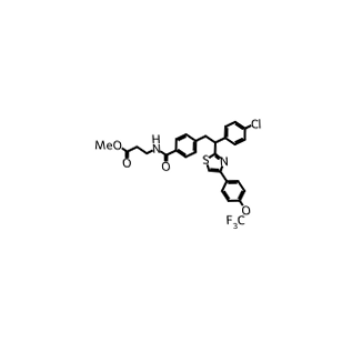 COC(=O)CCNC(=O)c1ccc(CC(c2ccc(Cl)cc2)c2nc(-c3ccc(OC(F)(F)F)cc3)cs2)cc1